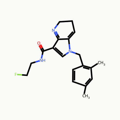 Cc1ccc(Cn2cc(C(=O)NCCF)c3c2=CCCN=3)c(C)c1